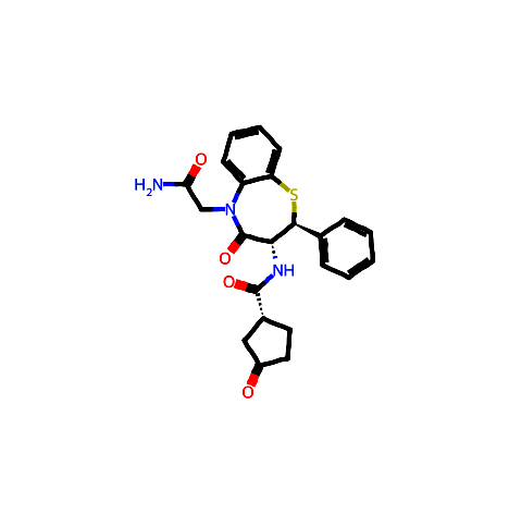 NC(=O)CN1C(=O)[C@@H](NC(=O)[C@@H]2CCC(=O)C2)[C@H](c2ccccc2)Sc2ccccc21